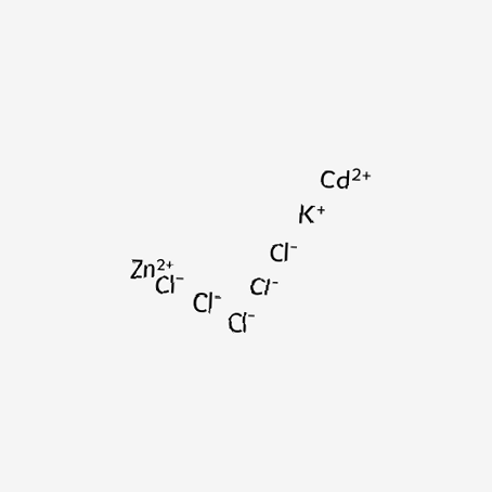 [Cd+2].[Cl-].[Cl-].[Cl-].[Cl-].[Cl-].[K+].[Zn+2]